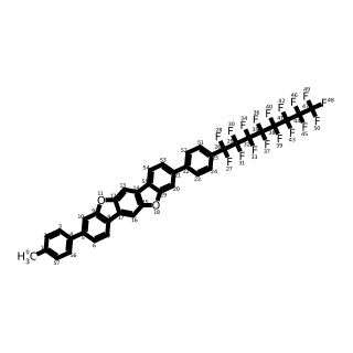 Cc1ccc(-c2ccc3c(c2)oc2cc4c(cc23)oc2cc(-c3ccc(C(F)(F)C(F)(F)C(F)(F)C(F)(F)C(F)(F)C(F)(F)C(F)(F)C(F)(F)F)cc3)ccc24)cc1